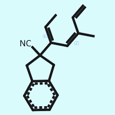 C=C/C(C)=C\C(=C/C)C1(C#N)Cc2ccccc2C1